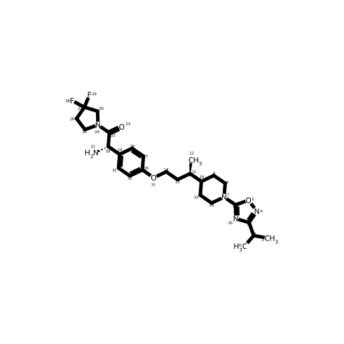 CC(C)c1noc(N2CCC([C@H](C)CCOc3ccc([C@H](N)C(=O)N4CCC(F)(F)C4)cc3)CC2)n1